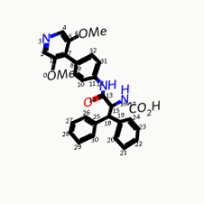 COc1cncc(OC)c1-c1ccc(NC(=O)C(NC(=O)O)C(c2ccccc2)c2ccccc2)cc1